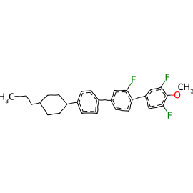 CCCC1CCC(c2ccc(-c3ccc(-c4cc(F)c(OC)c(F)c4)c(F)c3)cc2)CC1